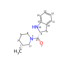 C[C@@H]1CCCN(C(=O)[C@H]2Cc3ccccc3N2)C1